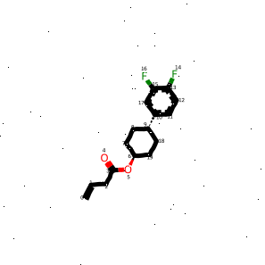 C=CCC(=O)O[C@H]1CC[C@H](c2ccc(F)c(F)c2)CC1